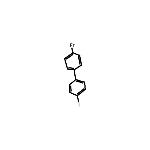 CCc1[c]cc(-c2ccc(I)cc2)cc1